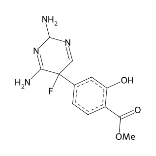 COC(=O)c1ccc(C2(F)C=NC(N)N=C2N)cc1O